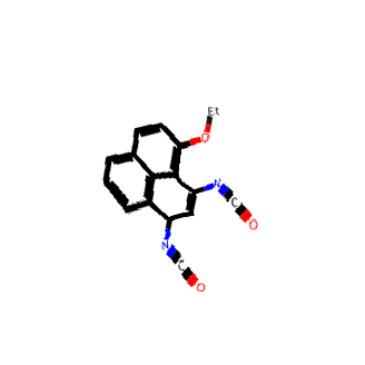 CCOc1ccc2cccc3c2c1C(N=C=O)=CC3N=C=O